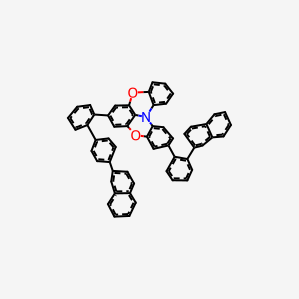 c1ccc2c(c1)Oc1cc(-c3ccccc3-c3ccc(-c4ccc5ccccc5c4)cc3)cc3c1N2c1ccc(-c2ccccc2-c2ccc4ccccc4c2)cc1O3